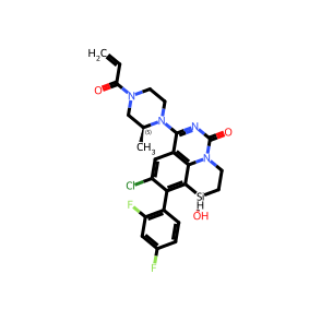 C=CC(=O)N1CCN(c2nc(=O)n3c4c(c(-c5ccc(F)cc5F)c(Cl)cc24)[SiH](O)CC3)[C@@H](C)C1